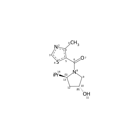 Cc1ncsc1C(=O)N1C[C@H](O)C[C@H]1C(C)C